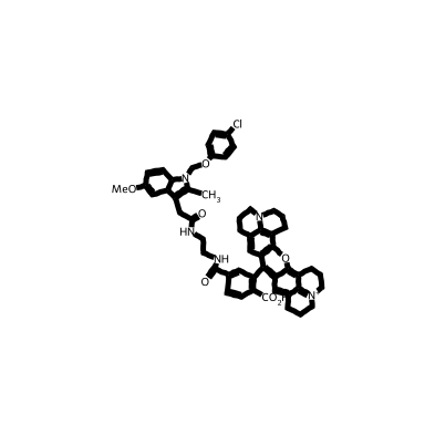 COC1=CC2C(CC(=O)NCCNC(=O)c3ccc(C(=O)O)c(C4=c5cc6c7c(c5Oc5c4cc4c8c5CCCN8CCC4)CCC[N+]=7CCC6)c3)=C(C)N(COc3ccc(Cl)cc3)C2C=C1